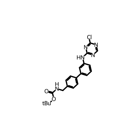 CC(C)(C)OC(=O)NCc1ccc(-c2cccc(Nc3ncnc(Cl)n3)c2)cc1